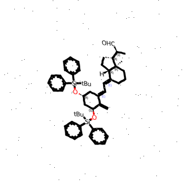 C=C1/C(=C/C=C2\CCC[C@]3(C)[C@@H]([C@H](C)C=O)CC[C@@H]23)C[C@@H](O[Si](c2ccccc2)(c2ccccc2)C(C)(C)C)C[C@@H]1O[Si](c1ccccc1)(c1ccccc1)C(C)(C)C